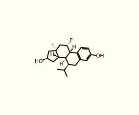 CC(C)[C@@H]1Cc2cc(O)ccc2[C@@H]2[C@@H]1[C@@H]1C[C@@H](O)C[C@@]1(C)C[C@@H]2F